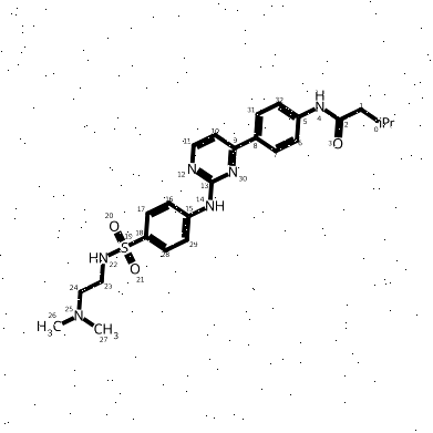 CC(C)CC(=O)Nc1ccc(-c2ccnc(Nc3ccc(S(=O)(=O)NCCN(C)C)cc3)n2)cc1